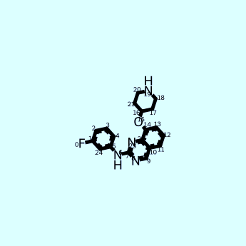 Fc1cccc(Nc2ncc3cccc(OC4CCNCC4)c3n2)c1